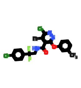 CCc1c(Cl)nnc(Oc2cccc(C(F)(F)F)c2)c1C(=O)NCC(F)(F)c1ccc(Cl)cc1